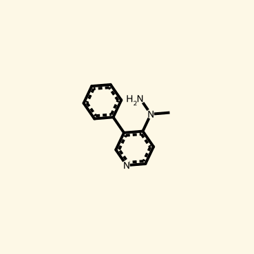 CN(N)c1ccncc1-c1ccccc1